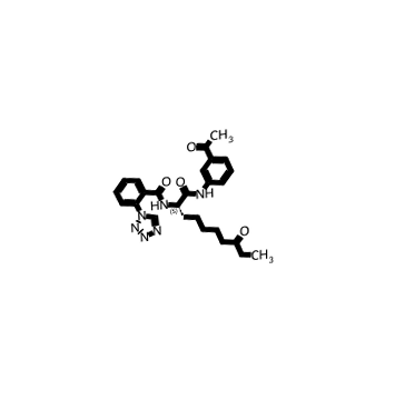 CCC(=O)CCCCC[C@H](NC(=O)c1ccccc1-n1cnnn1)C(=O)Nc1cccc(C(C)=O)c1